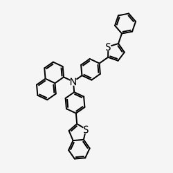 c1ccc(-c2ccc(-c3ccc(N(c4ccc(-c5cc6ccccc6s5)cc4)c4cccc5ccccc45)cc3)s2)cc1